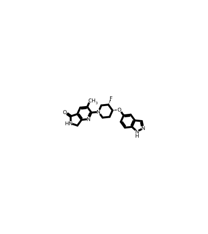 Cc1cc2c(nc1N1CC[C@@H](Oc3ccc4[nH]ncc4c3)[C@@H](F)C1)CNC2=O